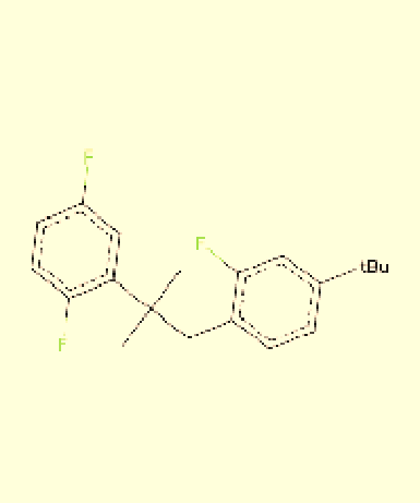 CC(C)(C)c1ccc(CC(C)(C)c2cc(F)ccc2F)c(F)c1